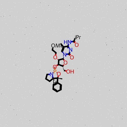 COCCO[C@H]1C(O[P@@]2O[C@](C)(c3ccccc3)[C@@H]3CCCN32)[C@@H](CO)O[C@H]1n1cc(C)c(NC(=O)C(C)C)nc1=O